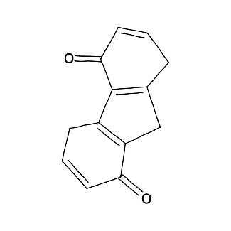 O=C1C=CCC2=C1CC1=C2C(=O)C=CC1